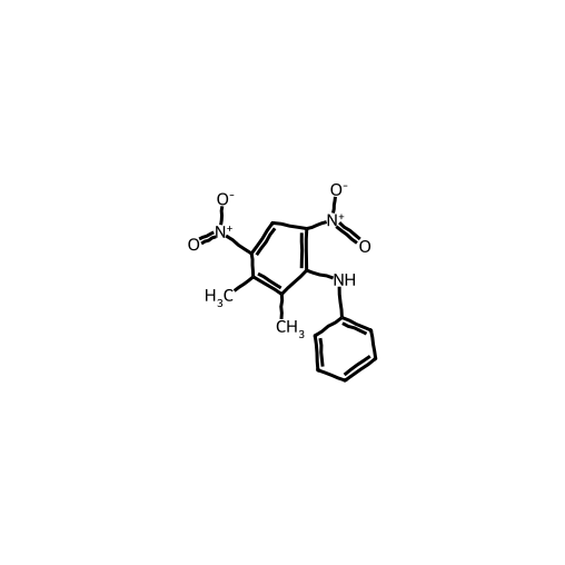 Cc1c([N+](=O)[O-])cc([N+](=O)[O-])c(Nc2ccccc2)c1C